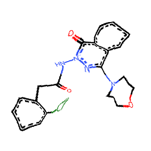 O=C(Cc1ccccc1Cl)Nn1nc(N2CCOCC2)c2ccccc2c1=O